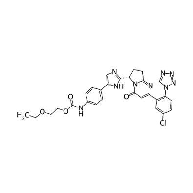 CCOCCOC(=O)Nc1ccc(-c2cnc([C@@H]3CCc4nc(-c5cc(Cl)ccc5-n5cnnn5)cc(=O)n43)[nH]2)cc1